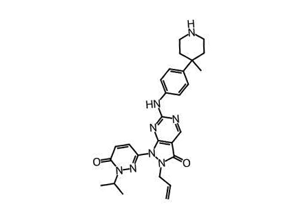 C=CCn1c(=O)c2cnc(Nc3ccc(C4(C)CCNCC4)cc3)nc2n1-c1ccc(=O)n(C(C)C)n1